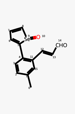 Cc1ccc(C2=CC=C[Se]2=O)c(C=CC=O)c1